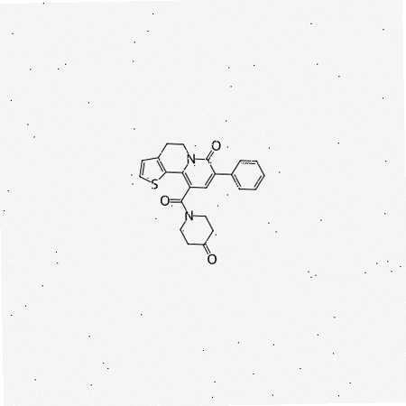 O=C1CCN(C(=O)c2cc(-c3ccccc3)c(=O)n3c2-c2sccc2CC3)CC1